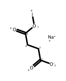 O=C([O-])CCC(=O)OI.[Na+]